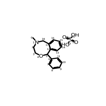 CN1CCOC(c2ccccc2)c2ccccc2C1.O=S(=O)(O)O